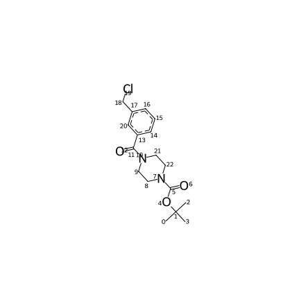 CC(C)(C)OC(=O)N1CCN(C(=O)c2cccc(CCl)c2)CC1